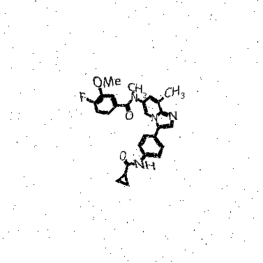 COc1cc(C(=O)N(C)c2cc(C)c3ncc(-c4ccc(NC(=O)C5CC5)cc4)n3c2)ccc1F